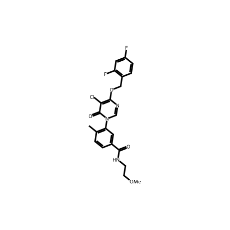 COCCNC(=O)c1ccc(C)c(-n2cnc(OCc3ccc(F)cc3F)c(Cl)c2=O)c1